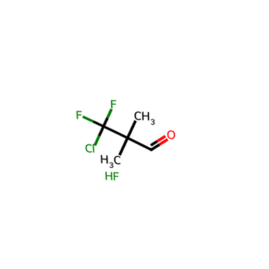 CC(C)(C=O)C(F)(F)Cl.F